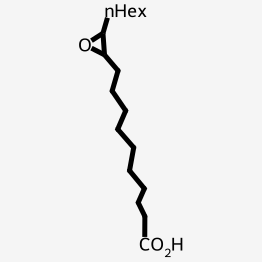 CCCCCCC1OC1CCCCCCCCCC(=O)O